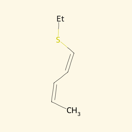 C/C=C\C=C/SCC